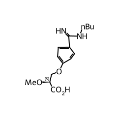 CCCCNC(=N)c1ccc(OC[C@H](OC)C(=O)O)cc1